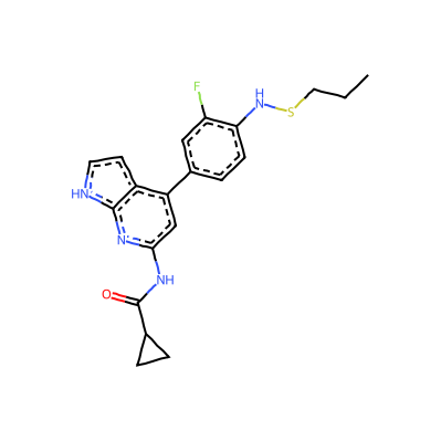 CCCSNc1ccc(-c2cc(NC(=O)C3CC3)nc3[nH]ccc23)cc1F